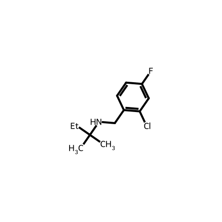 CCC(C)(C)NCc1ccc(F)cc1Cl